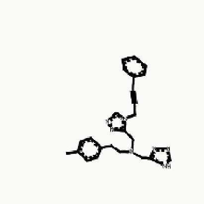 Cc1ccc(CCN(Cc2nnc[nH]2)Cc2nncn2CC#Cc2ccccc2)cc1